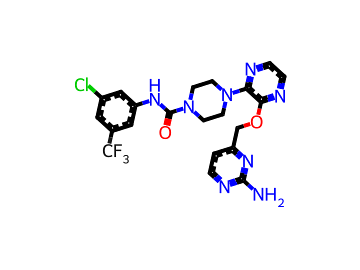 Nc1nccc(COc2nccnc2N2CCN(C(=O)Nc3cc(Cl)cc(C(F)(F)F)c3)CC2)n1